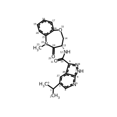 CC(C)c1cnc2[nH]nc(C(=O)N[C@H]3COc4ccccc4N(C)C3=O)c2c1